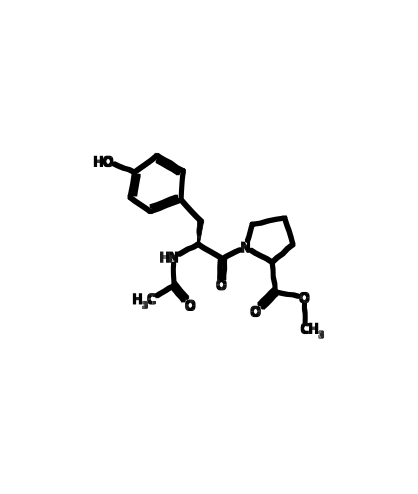 COC(=O)C1CCCN1C(=O)[C@H](Cc1ccc(O)cc1)NC(C)=O